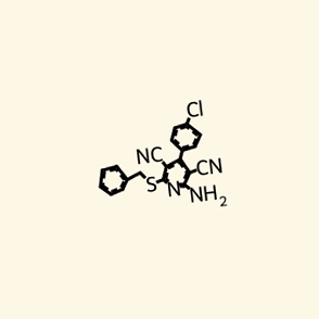 N#Cc1c(N)nc(SCc2ccccc2)c(C#N)c1-c1ccc(Cl)cc1